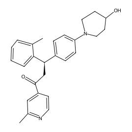 Cc1cc(C(=O)C[C@H](c2ccc(N3CCC(O)CC3)cc2)c2ccccc2C)ccn1